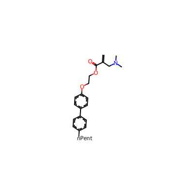 C=C(CN(C)C)C(=O)OCCOc1ccc(-c2ccc(CCCCC)cc2)cc1